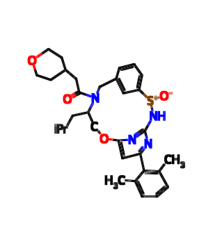 Cc1cccc(C)c1-c1cc2nc(n1)N[S+]([O-])c1cccc(c1)CN(C(=O)CC1CCOCC1)C(CC(C)C)CO2